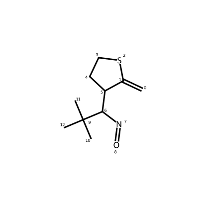 C=C1SCCC1C(N=O)C(C)(C)C